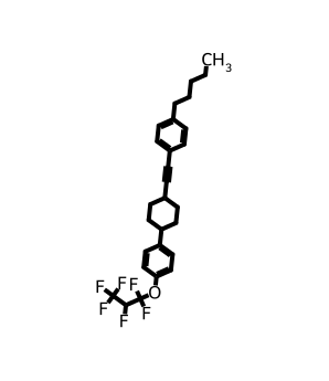 CCCCCc1ccc(C#CC2CCC(c3ccc(OC(F)(F)C(F)C(F)(F)F)cc3)CC2)cc1